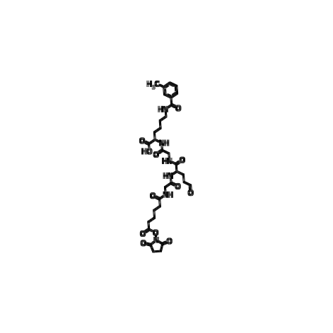 Cc1cccc(C(=O)NCCCCC(NC(=O)CNC(=O)C(CCC=O)NC(=O)CNC(=O)CCCCC(=O)ON2C(=O)CCC2=O)C(=O)O)c1